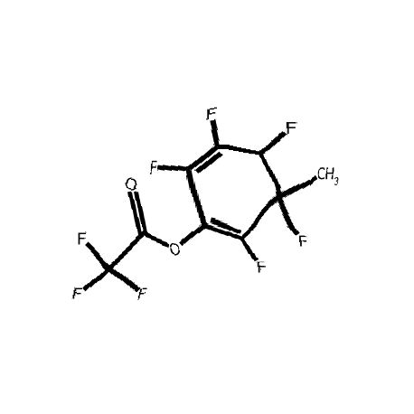 CC1(F)C(F)=C(OC(=O)C(F)(F)F)C(F)=C(F)C1F